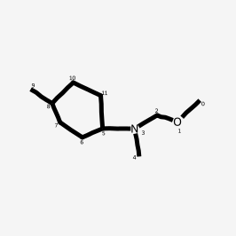 COCN(C)C1CCC(C)CC1